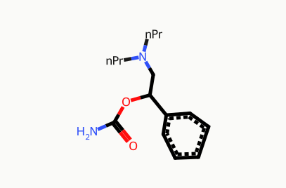 CCCN(CCC)CC(OC(N)=O)c1ccccc1